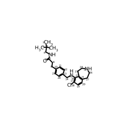 CC(C)(C)CNC(=O)CCc1ccc(CNc2c(Cl)ccc3c2CCNCC3)cc1